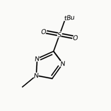 Cn1cnc(S(=O)(=O)C(C)(C)C)n1